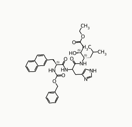 CCOC(=O)C[C@H](O)[C@H](CC(C)C)NC(=O)C(Cc1c[nH]cn1)NC(=O)[C@H](Cc1ccc2ccccc2c1)NC(=O)OCc1ccccc1